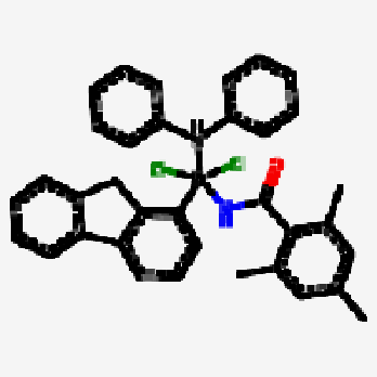 Cc1cc(C)c(C(=O)[NH][Zr]([Cl])([Cl])([c]2cccc3c2Cc2ccccc2-3)[SiH](c2ccccc2)c2ccccc2)c(C)c1